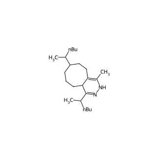 CCCCC(C)C1=NNC(C)=C2CCC(C(C)CCCC)CCCC12